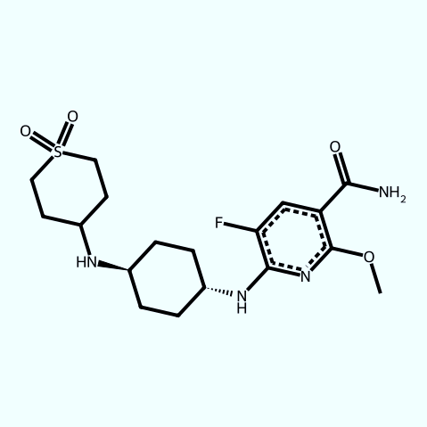 COc1nc(N[C@H]2CC[C@H](NC3CCS(=O)(=O)CC3)CC2)c(F)cc1C(N)=O